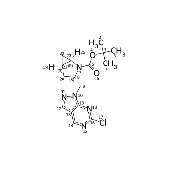 CC(C)(C)OC(=O)N1[C@H](Cn2ncc3cnc(Cl)nc32)C[C@H]2C[C@H]21